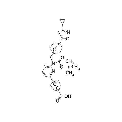 CC(C)(C)OC(=O)N(CC12CCC(c3nc(C4CC4)no3)(CC1)CC2)c1nccc(C23CCC(C(=O)O)(CC2)CC3)n1